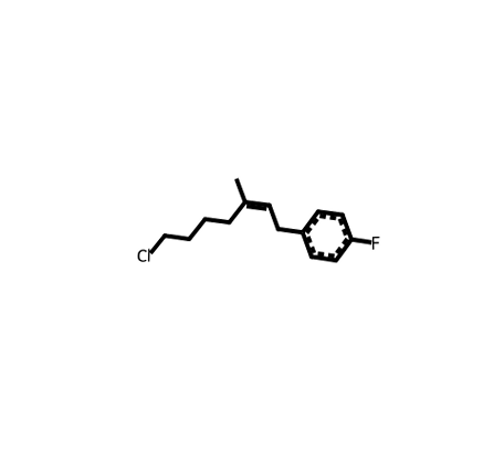 CC(=CCc1ccc(F)cc1)CCCCCl